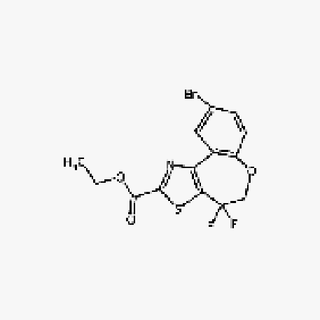 CCOC(=O)c1nc2c(s1)C(F)(F)COc1ccc(Br)cc1-2